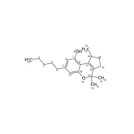 CCCCCc1cc(O)c2c(c1)OC(C)(C)C1=C2C(C)CC1